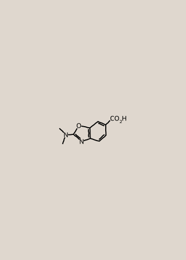 CN(C)c1nc2ccc(C(=O)O)cc2o1